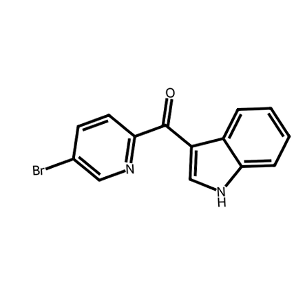 O=C(c1ccc(Br)cn1)c1c[nH]c2ccccc12